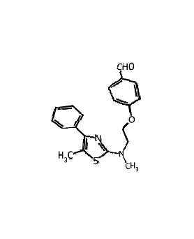 Cc1sc(N(C)CCOc2ccc(C=O)cc2)nc1-c1ccccc1